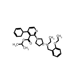 CCOc1ccccc1CN(CC)[C@@H]1CCN(c2nccc(C3C=CC=CC3)c2C(=O)OC(C)C)C1